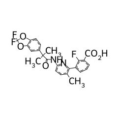 Cc1ccc(NC(=O)C(C)(C)c2ccc3c(c2)OC(F)(F)O3)nc1-c1cccc(C(=O)O)c1F